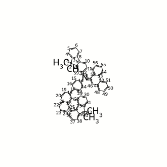 CC1(C)c2ccccc2-c2ccc(N(c3ccc(-c4ccc5ccccc5c4-c4cccc5c4-c4ccccc4C5(C)C)cc3)c3cc4ccccc4c4ccccc34)cc21